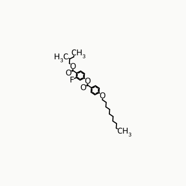 CCCCCCCCCCOc1ccc(C(=O)Oc2ccc(C(=O)OC[C@@H](C)CC)c(F)c2)cc1